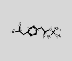 CC(C)(C)OC(=O)Cc1ccc(CC(=O)O)cc1